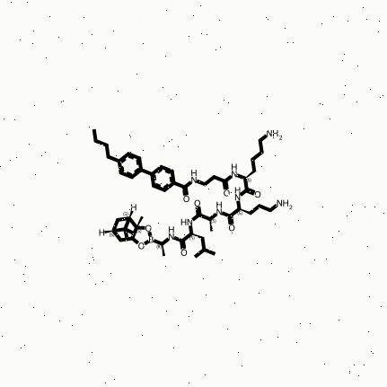 CCCCc1ccc(-c2ccc(C(=O)NCCC(=O)N[C@@H](CCCCN)C(=O)N[C@@H](CCCN)C(=O)N[C@@H](C)C(=O)N[C@@H](CC(C)C)C(=O)N[C@@H](C)B3OC4C[C@@H]5C[C@@H](C5(C)C)[C@]4(C)O3)cc2)cc1